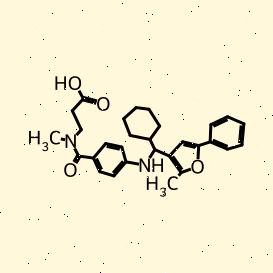 Cc1oc(-c2ccccc2)cc1C(Nc1ccc(C(=O)N(C)CCC(=O)O)cc1)C1CCCCC1